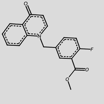 COC(=O)c1cc(Cn2ccc(=O)c3ccccc32)ccc1F